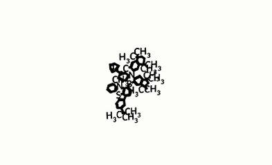 Cc1cc2c(cc1N1c3cc4c(cc3B3c5ccc6c(sc7ccc(C(C)(C)C)cc76)c5N(c5ccccc5C)c5cc(-c6ccccc6)cc1c53)C(C)(C)CC4(C)C)C(C)(C)CCC2(C)C